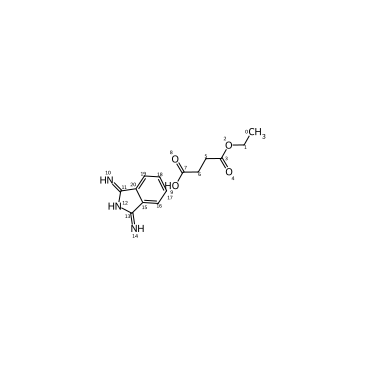 CCOC(=O)CCC(=O)O.N=C1NC(=N)c2ccccc21